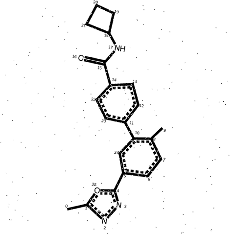 Cc1nnc(-c2ccc(C)c(-c3ccc(C(=O)NC4CCC4)cc3)c2)o1